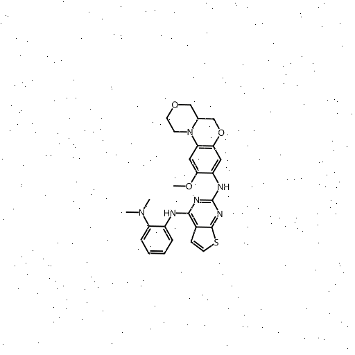 COc1cc2c(cc1Nc1nc(Nc3ccccc3N(C)C)c3ccsc3n1)OCC1COCCN21